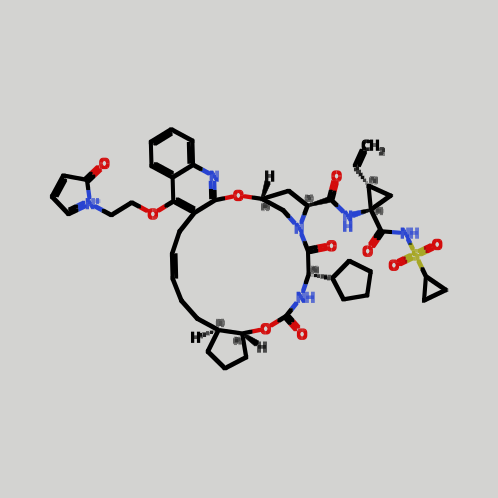 C=C[C@@H]1C[C@]1(NC(=O)[C@@H]1C[C@@H]2CN1C(=O)[C@H](C1CCCC1)NC(=O)O[C@@H]1CCC[C@H]1CCC=CCc1c(nc3ccccc3c1OCC[N+]1=CC=CC1=O)O2)C(=O)NS(=O)(=O)C1CC1